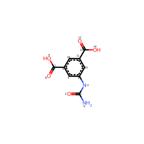 NC(=O)[N]c1cc(C(=O)O)cc(C(=O)O)c1